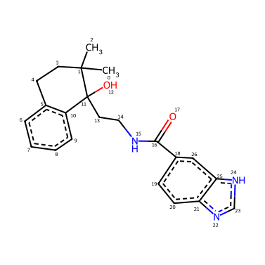 CC1(C)CCc2ccccc2C1(O)CCNC(=O)c1ccc2nc[nH]c2c1